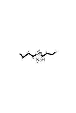 CCC[CH2][Sn][CH2]CCC.[NaH]